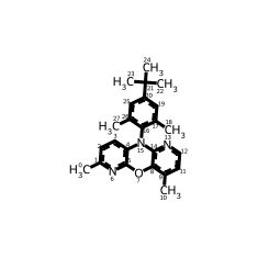 Cc1ccc2c(n1)Oc1c(C)ccnc1N2c1c(C)cc(C(C)(C)C)cc1C